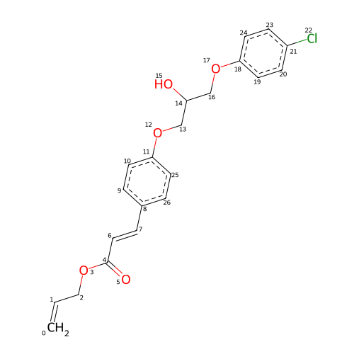 C=CCOC(=O)C=Cc1ccc(OCC(O)COc2ccc(Cl)cc2)cc1